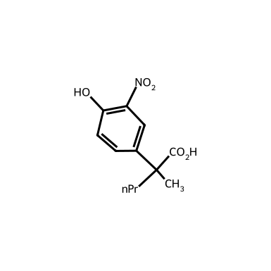 CCCC(C)(C(=O)O)c1ccc(O)c([N+](=O)[O-])c1